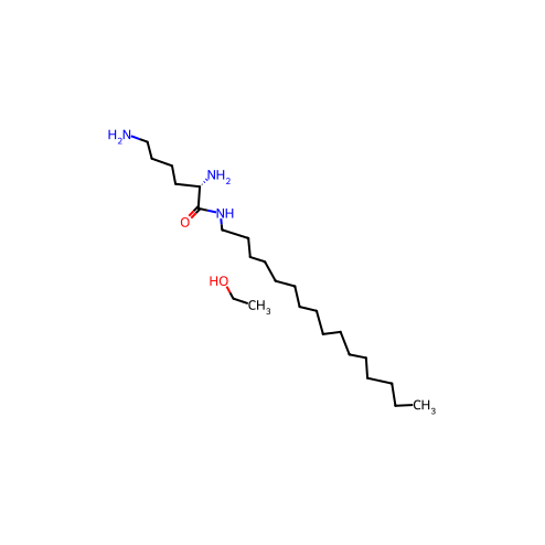 CCCCCCCCCCCCCCCCNC(=O)[C@@H](N)CCCCN.CCO